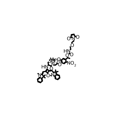 COc1cc(C(C)OC(=O)NCCOCCN2C(=O)C=CC2=O)c([N+](=O)[O-])cc1OCCNC(=O)C(CS(=O)(=O)O)NC1=C(/C=C2/N(C)c3ccccc3C2(C)C)C(=O)/C1=C\C1=[N+](C)c2ccccc2C1(C)C